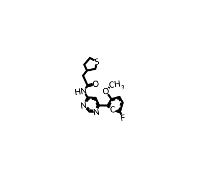 COc1ccc(F)cc1-c1cc(NC(=O)CC2CCSC2)ncn1